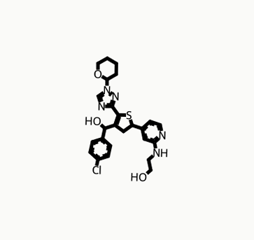 OCCNc1cc(C2CC(C(O)c3ccc(Cl)cc3)=C(c3ncn(C4CCCCO4)n3)S2)ccn1